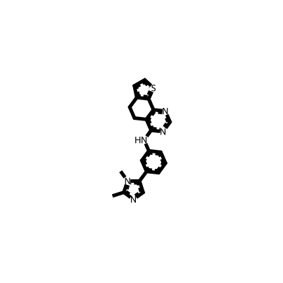 Cc1ncc(-c2cccc(Nc3ncnc4c3CCc3ccsc3-4)c2)n1C